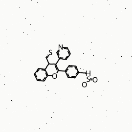 O=[SH](=O)Cc1ccc(C2=C(c3cccnc3)C(C=S)c3ccccc3O2)cc1